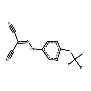 N#CC(C#N)=NNc1ccc(SC(F)(F)F)cc1